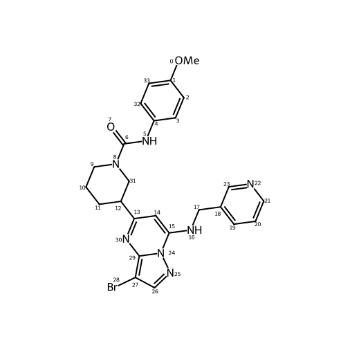 COc1ccc(NC(=O)N2CCCC(c3cc(NCc4cccnc4)n4ncc(Br)c4n3)C2)cc1